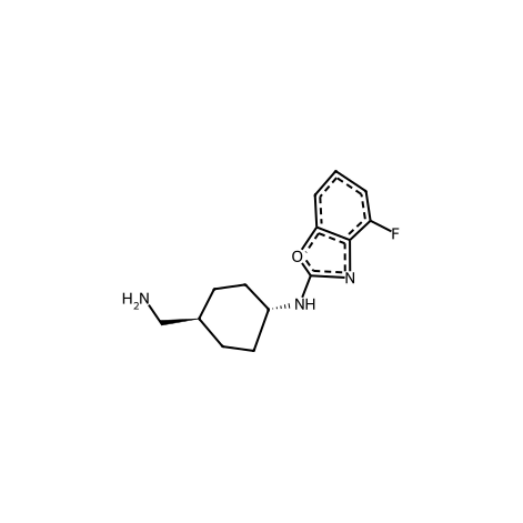 NC[C@H]1CC[C@H](Nc2nc3c(F)cccc3o2)CC1